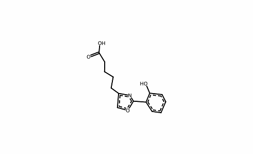 O=C(O)CCCCc1coc(-c2ccccc2O)n1